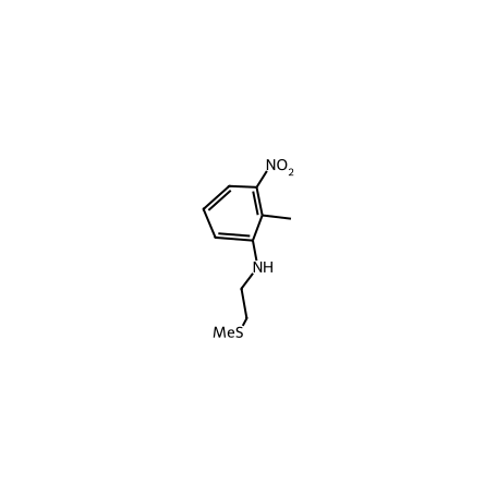 CSCCNc1cccc([N+](=O)[O-])c1C